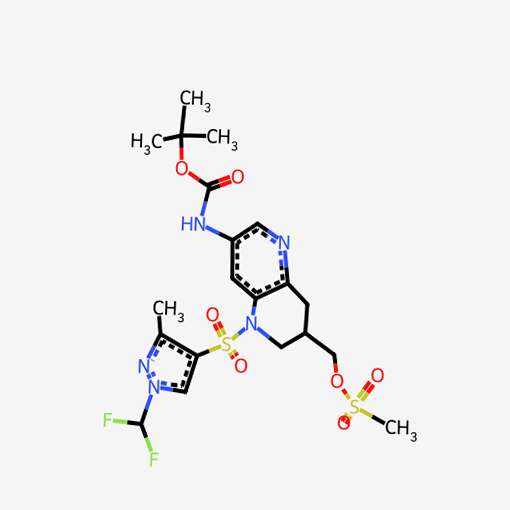 Cc1nn(C(F)F)cc1S(=O)(=O)N1CC(COS(C)(=O)=O)Cc2ncc(NC(=O)OC(C)(C)C)cc21